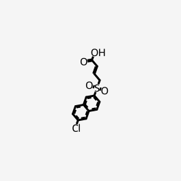 O=C(O)/C=C/CS(=O)(=O)c1ccc2cc(Cl)ccc2c1